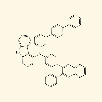 c1ccc(-c2ccc(-c3cccc(N(c4ccc(-c5cc6ccccc6cc5-c5ccccc5)cc4)c4cccc5oc6ccccc6c45)c3)cc2)cc1